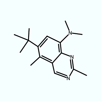 Cc1ncc2c(C)c(C(C)(C)C)cc(N(C)C)c2n1